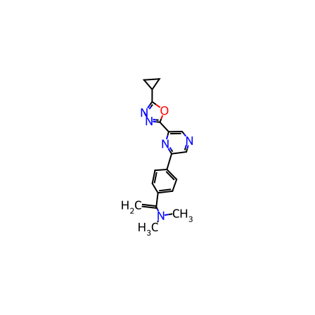 C=C(c1ccc(-c2cncc(-c3nnc(C4CC4)o3)n2)cc1)N(C)C